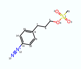 CS(=O)(=O)OCCCc1ccc([N+]#N)cc1